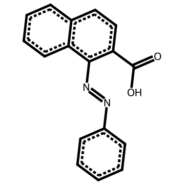 O=C(O)c1ccc2ccccc2c1/N=N/c1ccccc1